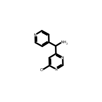 NC(c1ccncc1)c1cc(Cl)ncn1